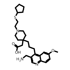 COc1ccc2ncc(CN)c(CCCC3(CC(=O)O)CCN(CCSC4CCCC4)CC3)c2c1